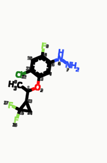 CC(Oc1cc(NN)c(F)cc1Cl)C1CC1(F)F